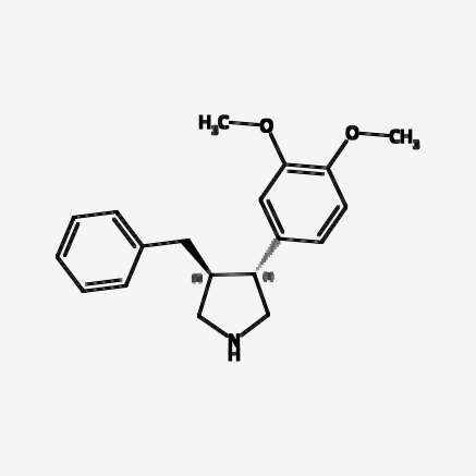 COc1ccc([C@@H]2CNC[C@H]2Cc2ccccc2)cc1OC